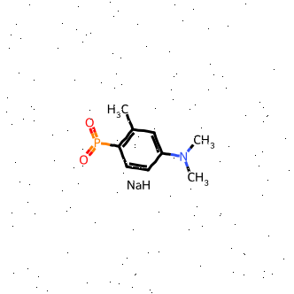 Cc1cc(N(C)C)ccc1P(=O)=O.[NaH]